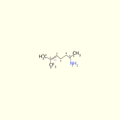 C/C(=C/CCC(C)N)C(F)(F)F